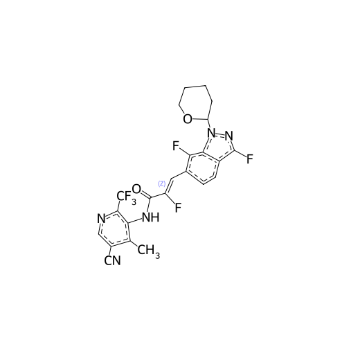 Cc1c(C#N)cnc(C(F)(F)F)c1NC(=O)/C(F)=C/c1ccc2c(F)nn(C3CCCCO3)c2c1F